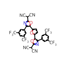 N#CC(C#N)c1nc(-c2cc(C(F)(F)F)cc(C(F)(F)F)c2)c(-c2ccc(-c3oc(C(C#N)C#N)nc3-c3cc(C(F)(F)F)cc(C(F)(F)F)c3)o2)o1